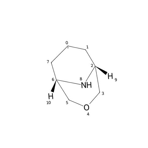 [CH]1C[C@@H]2COC[C@H](C1)N2